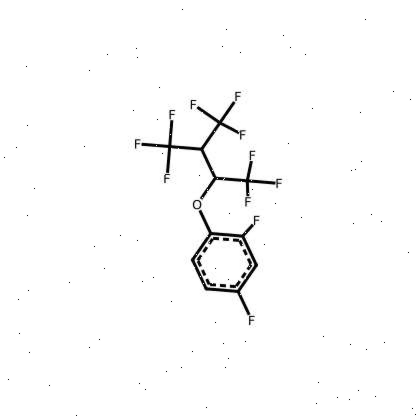 Fc1ccc(OC(C(C(F)(F)F)C(F)(F)F)C(F)(F)F)c(F)c1